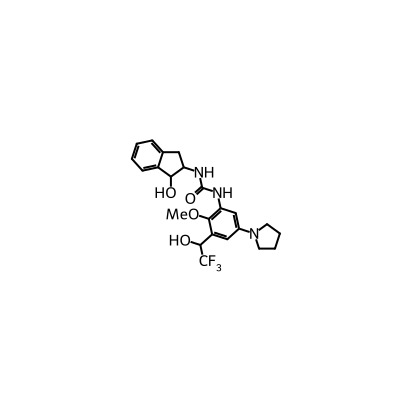 COc1c(NC(=O)NC2Cc3ccccc3C2O)cc(N2CCCC2)cc1C(O)C(F)(F)F